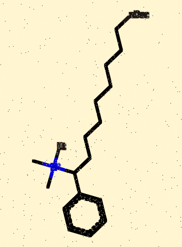 CCCCCCCCCCCCCCCCCCC(c1ccccc1)[N+](C)(C)CC